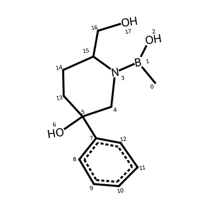 CB(O)N1CC(O)(c2ccccc2)CCC1CO